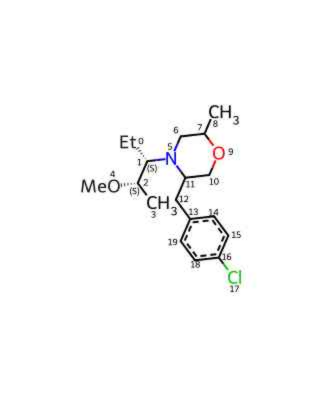 CC[C@@H]([C@H](C)OC)N1CC(C)OCC1Cc1ccc(Cl)cc1